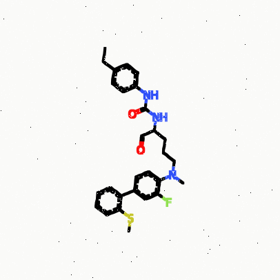 CCc1ccc(NC(=O)NC(C=O)CCCN(C)c2ccc(-c3ccccc3SC)cc2F)cc1